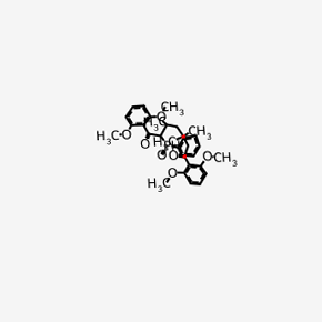 COc1cccc(OC)c1C(=O)CC(C)(C)CC(C)C(C(=O)c1c(OC)cccc1OC)[PH](=O)c1ccccc1